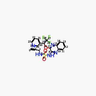 C#CCNS(=O)(=O)Nc1nc2ccccc2nc1OC(c1cccnc1)C(F)(F)F